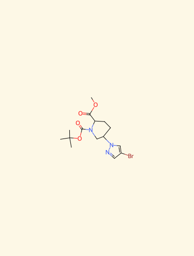 COC(=O)C1CCC(n2cc(Br)cn2)CN1C(=O)OC(C)(C)C